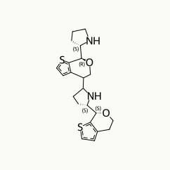 c1cc2c(s1)[C@H]([C@@H]1CCC(C3CO[C@H]([C@@H]4CCCN4)c4sccc43)N1)OCC2